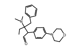 CCC(Cc1ccccc1)(C(C=O)c1ccc(N2CCOCC2)cc1)N(C)C